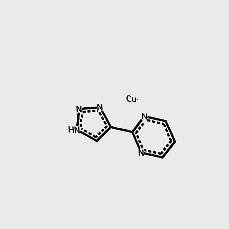 [Cu].c1cnc(-c2c[nH]nn2)nc1